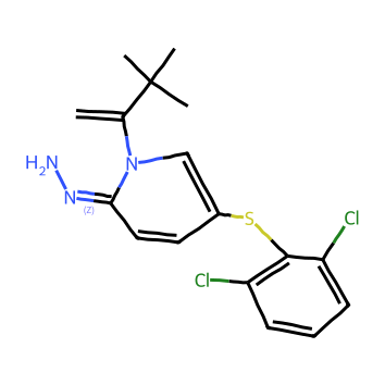 C=C(n1cc(Sc2c(Cl)cccc2Cl)cc/c1=N/N)C(C)(C)C